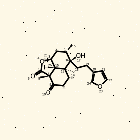 C[C@@H]1C[C@H]2OC(=O)[C@@]3(C)C(=O)CC[C@@](C)([C@@H]23)[C@@]1(O)CCc1ccoc1